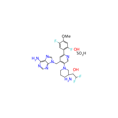 COc1cc(F)c(-c2cc(Cn3cnc4c(N)ncnc43)c(N3CCC[C@](N)([C@H](O)C(F)F)C3)cn2)cc1F.O=S(=O)(O)O